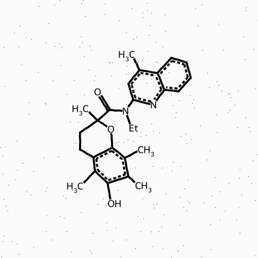 CCN(C(=O)C1(C)CCc2c(C)c(O)c(C)c(C)c2O1)c1cc(C)c2ccccc2n1